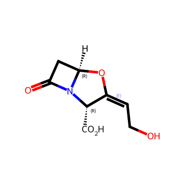 O=C(O)[C@H]1/C(=C\CO)O[C@@H]2CC(=O)N21